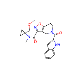 COCC1(N(C)C(=O)c2noc3c2CN(C(=O)c2cc4ccccc4[nH]2)CC3)CC1